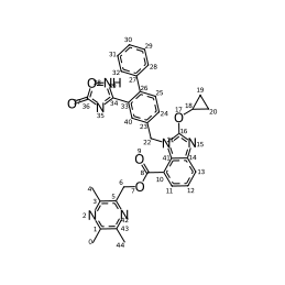 Cc1nc(C)c(COC(=O)c2cccc3nc(OC4CC4)n(Cc4ccc(-c5ccccc5)c(-c5nc(=O)o[nH]5)c4)c23)nc1C